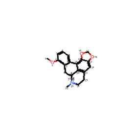 COc1cccc2c1C[C@@H]1c3c(cc4c(c3-2)OCO4)CCN1C